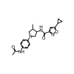 CC(=O)Nc1ccc(N2CC(C)C(NC(=O)c3cc(C4CC4)on3)C2)cc1